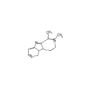 CC1C2=NC3=CC=CCC3C2CCN1C